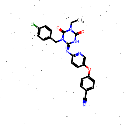 CCn1c(=O)[nH]/c(=N\c2ccc(Oc3ccc(C#N)cc3)cn2)n(Cc2ccc(Cl)cc2)c1=O